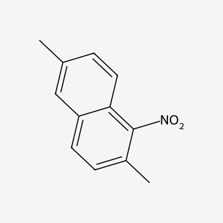 Cc1ccc2c([N+](=O)[O-])c(C)ccc2c1